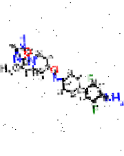 CC(C)C1(N2CCC(ON=C3CCC(c4cc(F)c(N)cc4F)CC3)CC2)N=CNO1